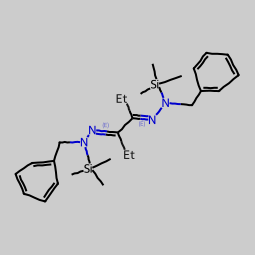 CCC(=N\N(Cc1ccccc1)[Si](C)(C)C)/C(CC)=N/N(Cc1ccccc1)[Si](C)(C)C